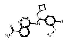 COc1cc([C@@H](CN2CCC2)Nc2nnnc3c(C(N)=O)cccc23)ccc1Cl